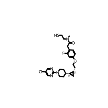 CN(CCS)C(=O)Cc1ccc(OCC[C@@H]2C[C@@H]2C2CCN(c3ncc(Cl)cn3)CC2)cc1F